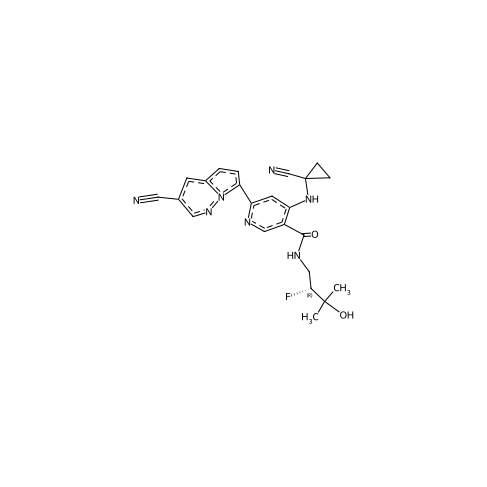 CC(C)(O)[C@H](F)CNC(=O)c1cnc(-c2ccc3cc(C#N)cnn23)cc1NC1(C#N)CC1